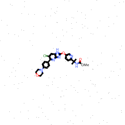 COC(=O)NC(C)(C)c1ccc(Oc2nc3nc(-c4ccc(N5CCOCC5)cc4)c(Cl)cc3[nH]2)cn1